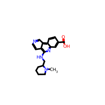 CN1CCCCC1CNc1nc2cc(C(=O)O)ccc2c2cnccc12